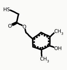 Cc1cc(COC(=O)CS)cc(C)c1O